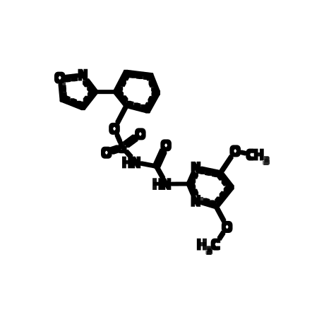 COc1cc(OC)nc(NC(=O)NS(=O)(=O)Oc2ccccc2-c2ccon2)n1